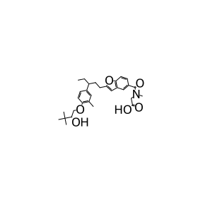 CCC(CCc1cc2cc(C(=O)N(C)CC(=O)O)ccc2o1)c1ccc(OCC(O)C(C)(C)C)c(C)c1